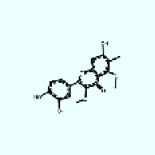 COc1c(-c2ccc(O)c(O)c2)oc2cc(O)c(C)c(OC)c2c1=O